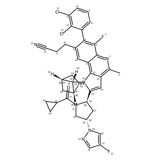 Cc1nc2c(F)c(-c3cccc(Cl)c3Cl)c(CCC#N)cc2c2c1cc([C@H]1C[C@H](n3cc(F)cn3)CN1C(=O)C1CC1)n2[C@H]1[C@H]2CN[C@@H]1C2